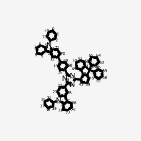 c1ccc(-n2c3ccccc3c3cc(-c4ccc(-c5nc(-c6ccc7c(c6)c6ccccc6n7-c6ccccc6)nc(-c6cccc7c6-c6ccccc6C7(c6ccccc6)c6ccccc6)n5)cc4)ccc32)cc1